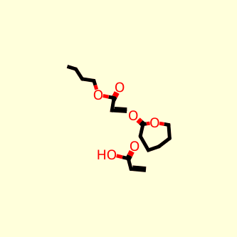 C=CC(=O)O.C=CC(=O)OCCCC.O=C1CCCCCO1